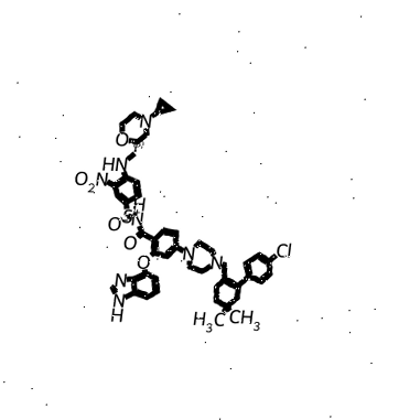 CC1(C)CCC(CN2CCN(c3ccc(C(=O)N[S+]([O-])c4ccc(NC[C@H]5CN(C6CC6)CCO5)c([N+](=O)[O-])c4)c(Oc4cccc5[nH]cnc45)c3)CC2)=C(c2ccc(Cl)cc2)C1